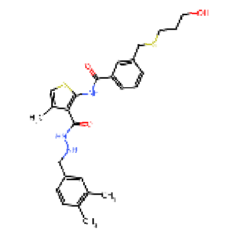 Cc1ccc(CNNC(=O)c2c(C)csc2NC(=O)c2cccc(CSCCCO)c2)cc1C